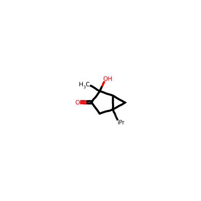 CC(C)C12CC(=O)C(C)(O)C1C2